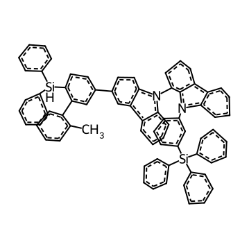 Cc1ccccc1-c1cc(-c2ccc3c(c2)c2ccccc2n3-c2cccc3c4ccccc4n(-c4cccc([Si](c5ccccc5)(c5ccccc5)c5ccccc5)c4)c23)ccc1[SiH](c1ccccc1)c1ccccc1